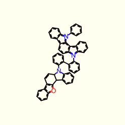 C1=CC2C(c3ccccc3N2c2ccccc2-c2ccccc2-n2c3ccccc3c3c2ccc2c4ccccc4n(-c4ccccc4)c23)c2oc3ccccc3c21